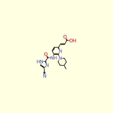 CC1CCN(c2nc(C=CC(=O)O)ccc2NC(=O)c2nc(C#N)c[nH]2)CC1